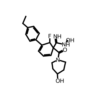 CCc1ccc(C2=CC=CC(C(=N)NO)(C(=O)N3CCC(O)CC3)C2F)cc1